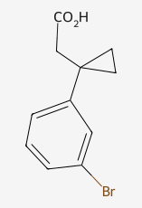 O=C(O)CC1(c2cccc(Br)c2)CC1